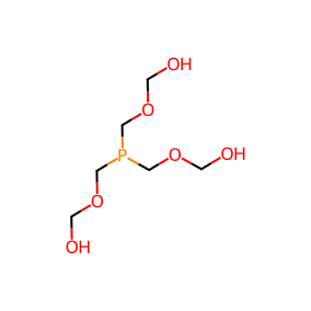 OCOCP(COCO)COCO